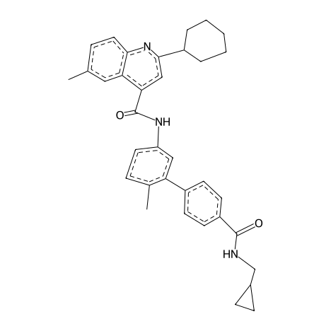 Cc1ccc2nc(C3CCCCC3)cc(C(=O)Nc3ccc(C)c(-c4ccc(C(=O)NCC5CC5)cc4)c3)c2c1